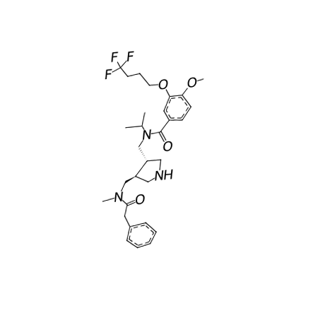 COc1ccc(C(=O)N(C[C@@H]2CNC[C@H]2CN(C)C(=O)Cc2ccccc2)C(C)C)cc1OCCCC(F)(F)F